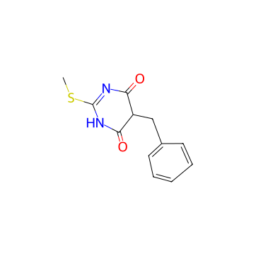 CSC1=NC(=O)C(Cc2ccccc2)C(=O)N1